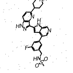 CS(=O)(=O)NCc1cc(F)cc(-c2cncc3[nH]c(-c4n[nH]c5ccc(C6CCNCC6)nc45)cc23)c1